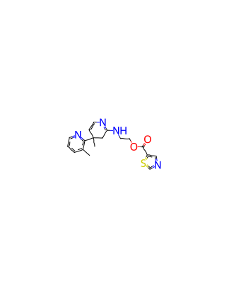 Cc1cccnc1C1(C)C=CN=C(NCCOC(=O)c2cncs2)C1